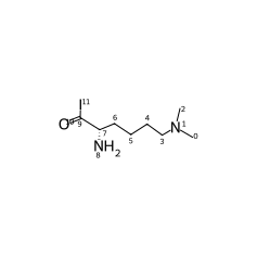 CN(C)CCCC[C@H](N)C(=O)I